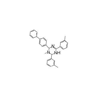 Cc1cccc(C2=NC(c3ccc(-c4ccccc4)cc3)N(C)C(c3cccc(C)c3)N2)c1